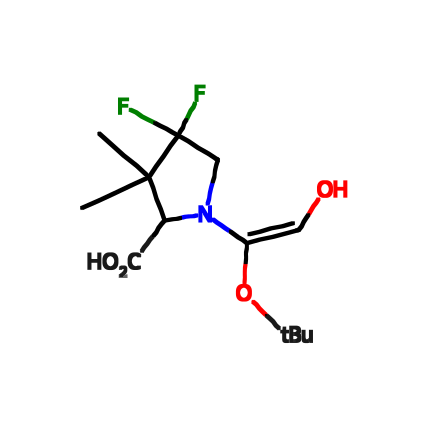 CC(C)(C)O/C(=C/O)N1CC(F)(F)C(C)(C)C1C(=O)O